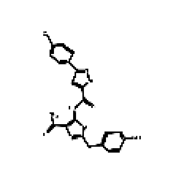 NC(=O)c1nc(Cc2ccc(O)cc2)[nH]c1NC(=O)c1cc(-c2ccc(Cl)cc2)n[nH]1